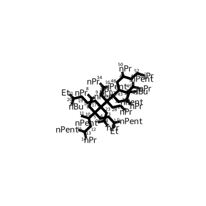 CCCCCC(CC)CCC(CC(CCC)CCCCC)(C(C)CC(CCC)CCCCC)C(CCCC(CC)CCCC)(CC(CCC)CCCCC)C(CC(CCC)CCCCC)(CC(CCC)C(C)CCC)C(CCC)(CC(CCC)CC(C)CC)[C](CC(CCC)CCCCC)CC(CCC)CCC(C)C